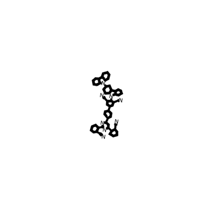 N#Cc1ccccc1-c1cc(-c2ccc(-c3cc(C#N)c(-n4c5ccccc5c5cc(-n6c7ccccc7c7ccccc76)ccc54)c(C#N)c3)cc2)nc(-c2ccccc2C#N)n1